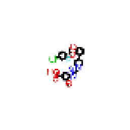 COc1cc(C(=O)O)cc2c1nc(CN1CCC(c3cccc4c3O[C@H](c3ccc(Cl)cc3F)CO4)CC1)n2C